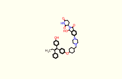 CC/C(=C(\c1ccc(O)cc1)c1ccc(OC2CCC(CN3CCN(c4ccc5c(c4)C(O)N(C4CCC(=O)NC4=O)C5=O)CC3)CC2)cc1)c1ccccc1